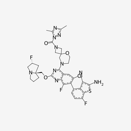 Cc1nc(C)n(C(=O)N2CC3(C2)CN(c2nc(OC[C@@]45CCCN4C[C@H](F)C5)nc4c(F)c(-c5ccc(F)c6sc(N)c(C#N)c56)c(Cl)cc24)CCO3)n1